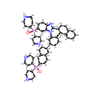 O=P(c1ccncc1)(c1ccncc1)c1ccc2cc(-c3ccc4c5c6ccccc6ccc5c5nc6ccc(P(=O)(c7ccncc7)c7ccncc7)cc6n5c4c3)ccc2c1